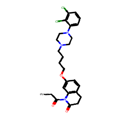 CC(C)CC(=O)N1C(=O)CCc2ccc(OCCCCN3CCN(c4cccc(Cl)c4Cl)CC3)cc21